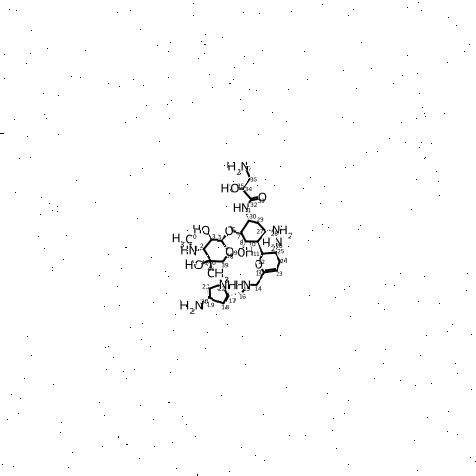 CN[C@@H]1[C@@H](O)[C@@H](O[C@@H]2[C@@H](O)[C@H](C3OC(CNC[C@@H]4C[C@H](N)CN4)=CC[C@H]3N)[C@@H](N)C[C@H]2NC(=O)[C@@H](O)CN)OC[C@]1(C)O